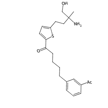 CC(=O)c1cccc(CCCCC(=O)c2ccc(CCC(C)(N)CO)s2)c1